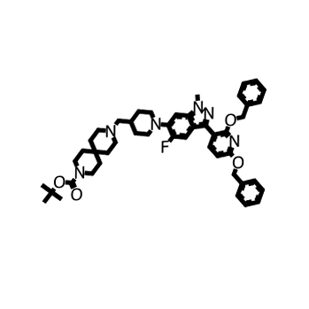 Cn1nc(-c2ccc(OCc3ccccc3)nc2OCc2ccccc2)c2cc(F)c(N3CCC(CN4CCC5(CC4)CCN(C(=O)OC(C)(C)C)CC5)CC3)cc21